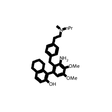 CCCN(C)CCc1ccc(Cc2c(-c3c(O)ccc4c3CCCC4)cc(OC)c(OC)c2N)cc1